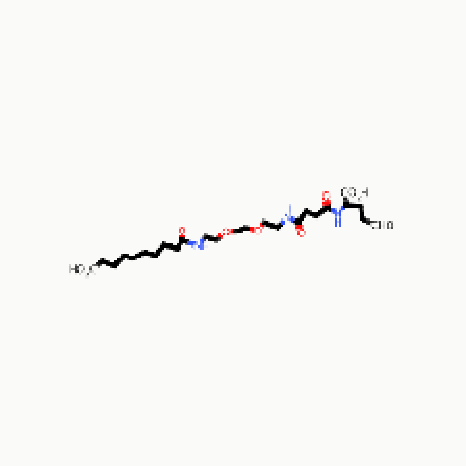 O=[C]CCC(NC(=O)CCC(=O)NCCOCCOCCNC(=O)CCCCCCCCC(=O)O)C(=O)O